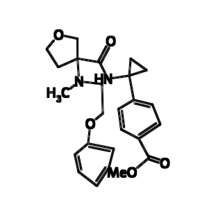 COC(=O)c1ccc(C2(NC(=O)C3(N(C)CCOc4ccccc4)CCOC3)CC2)cc1